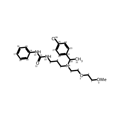 COCCOCCN(CCCNC(=O)Nc1ccccc1)C(C)c1ccc(Cl)cc1